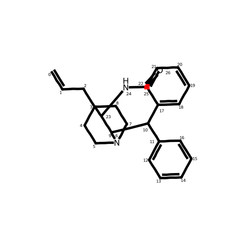 C=CCC12CCN(CC1)C(C(c1ccccc1)c1ccccc1)C2NC=O